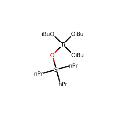 CCC[Si](CCC)(CCC)[O][Ti]([O]CC(C)C)([O]CC(C)C)[O]CC(C)C